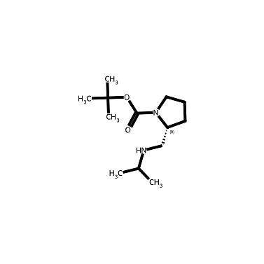 CC(C)NC[C@H]1CCCN1C(=O)OC(C)(C)C